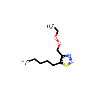 CCCCCc1snnc1COOCC